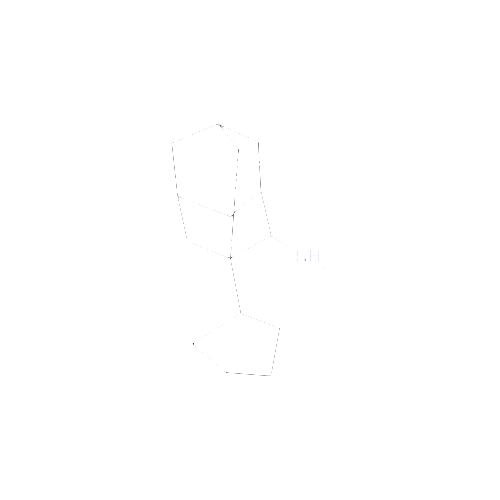 NC1C2CC3CC(C2)CC1(C1CCCC1)C3